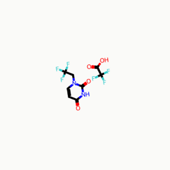 O=C(O)C(F)(F)F.O=c1ccn(CC(F)(F)F)c(=O)[nH]1